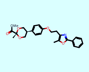 COC(=O)[C@]1(C)OC[C@@H](c2ccc(OCCc3nc(-c4ccccc4)oc3C)cc2)CO1